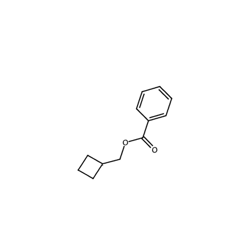 O=C(OC[C]1CCC1)c1ccccc1